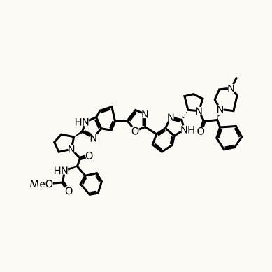 COC(=O)N[C@@H](C(=O)N1CCC[C@H]1c1nc2cc(-c3cnc(-c4cccc5[nH]c([C@@H]6CCCN6C(=O)[C@@H](c6ccccc6)N6CCN(C)CC6)nc45)o3)ccc2[nH]1)c1ccccc1